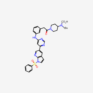 CC(C)(C)N(C(=O)O)C1CCN(C(=O)Cc2cccc(Nc3cc(-c4cnc5c(ccn5S(=O)(=O)c5ccccc5)c4)ncn3)c2)CC1